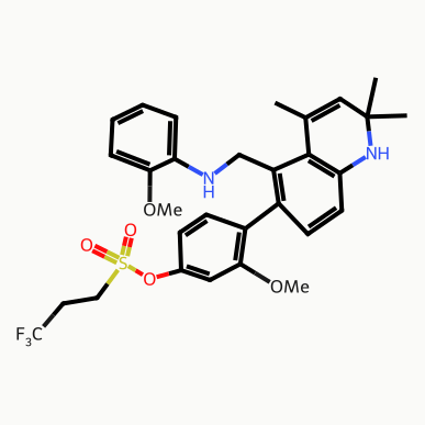 COc1ccccc1NCc1c(-c2ccc(OS(=O)(=O)CCC(F)(F)F)cc2OC)ccc2c1C(C)=CC(C)(C)N2